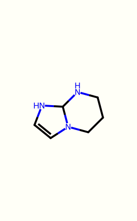 C1=CN2CCCNC2N1